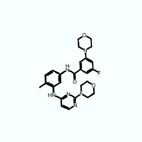 Cc1ccc(NC(=O)c2cc(F)cc(N3CCOCC3)c2)cc1Nc1ccnc(N2CCOCC2)n1